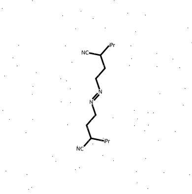 CC(C)C(C#N)CCN=NCCC(C#N)C(C)C